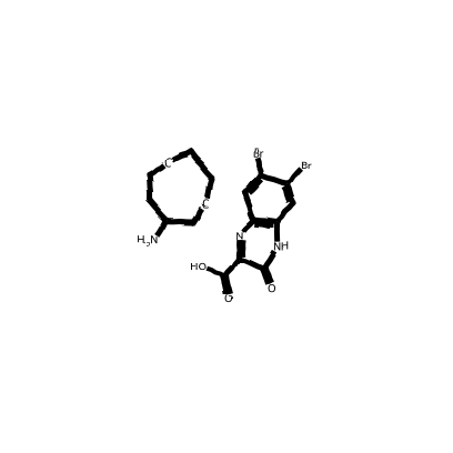 NC1CCCCCCC1.O=C(O)c1nc2cc(Br)c(Br)cc2[nH]c1=O